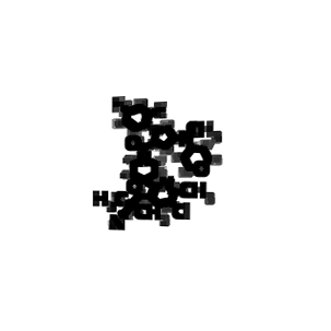 Cc1nc2c(cc1Cl)C(C(C)(C)C#N)OC21CCN(C(=O)[C@@H]2CC(N(C)C3CCOCC3)C[C@H]2c2ccc(F)cc2F)CC1